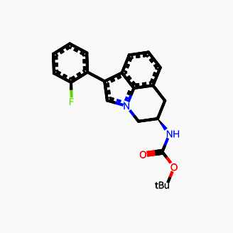 CC(C)(C)OC(=O)N[C@@H]1Cc2cccc3c(-c4ccccc4F)cn(c23)C1